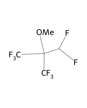 COC(C(F)F)(C(F)(F)F)C(F)(F)F